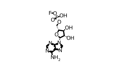 Nc1ncnc2c1ncn2[C@@H]1O[C@H](COP(=O)(O)OF)[C@@H](O)[C@@H]1O